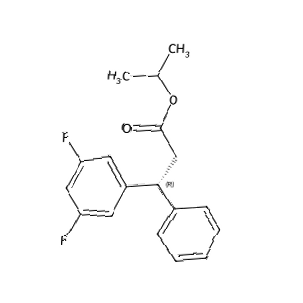 CC(C)OC(=O)C[C@H](c1ccccc1)c1cc(F)cc(F)c1